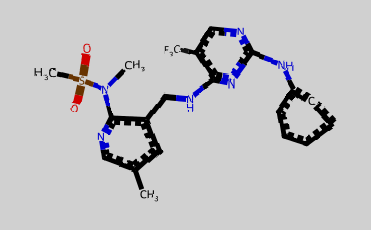 Cc1cnc(N(C)S(C)(=O)=O)c(CNc2nc(Nc3ccccc3)ncc2C(F)(F)F)c1